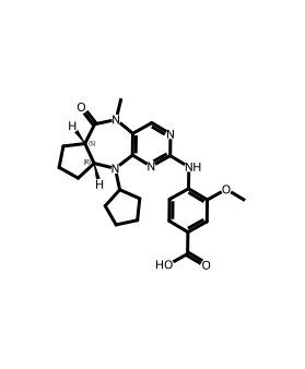 COc1cc(C(=O)O)ccc1Nc1ncc2c(n1)N(C1CCCC1)[C@@H]1CCC[C@@H]1C(=O)N2C